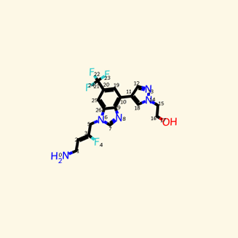 NCC=C(F)Cn1cnc2c(-c3cnn(CCO)c3)cc(C(F)(F)F)cc21